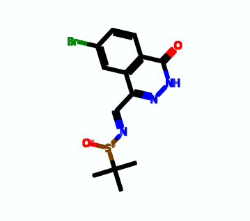 CC(C)(C)[S+]([O-])/N=C/c1n[nH]c(=O)c2ccc(Br)cc12